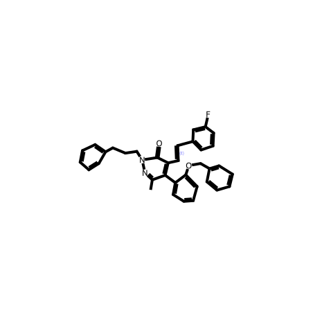 Cc1nn(CCCc2ccccc2)c(=O)c(/C=C/c2cccc(F)c2)c1-c1ccccc1OCc1ccccc1